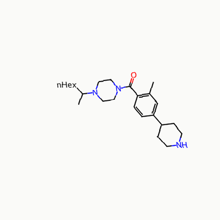 CCCCCCC(C)N1CCN(C(=O)c2ccc(C3CCNCC3)cc2C)CC1